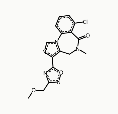 COCc1noc(-c2ncn3c2CN(C)C(=O)c2c(Cl)cccc2-3)n1